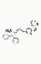 C/C(=C\C=C/Cc1cnc2oc3ncccc3c2c1)N(c1ccccc1)c1ccccc1